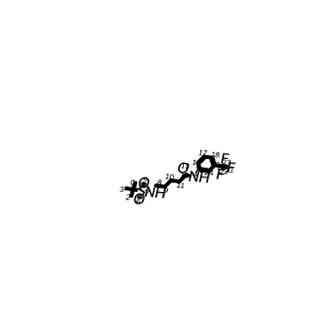 CC(C)(C)S(=O)(=O)NCCCCC(=O)Nc1cccc(C(F)(F)F)c1